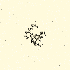 CCOc1cc(-c2nn(C)c3ccc(N)cc23)ccn1